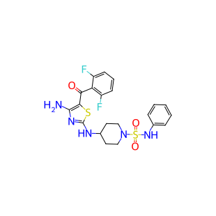 Nc1nc(NC2CCN(S(=O)(=O)Nc3ccccc3)CC2)sc1C(=O)c1c(F)cccc1F